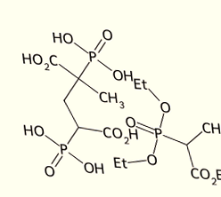 CC(CC(C(=O)O)P(=O)(O)O)(C(=O)O)P(=O)(O)O.CCOC(=O)C(C)P(=O)(OCC)OCC